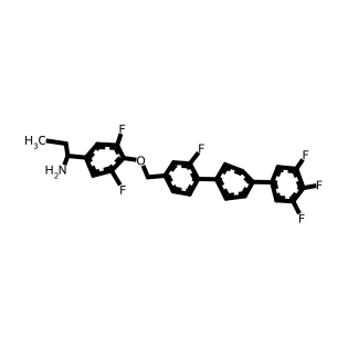 CCC(N)c1cc(F)c(OCc2ccc(-c3ccc(-c4cc(F)c(F)c(F)c4)cc3)c(F)c2)c(F)c1